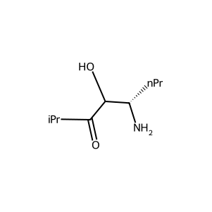 CCC[C@H](N)C(O)C(=O)C(C)C